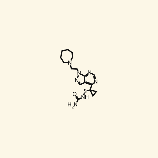 NC(=O)NSC1(c2ncnc3c2cnn3CCN2CCCCCC2)CC1